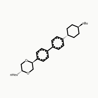 CCCCCC[C@@H]1CO[C@@H](c2ccc(-c3ccc([C@H]4CC[C@H](CCCC)CC4)cc3)cc2)CO1